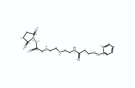 O=C(CCSSc1ccccn1)NCCOCCOCC(=O)ON1C(=O)CCC1=O